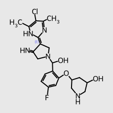 CC1=N/C(=C2\CN(C(O)c3ccc(F)cc3OC3CNCC(O)C3)CC2=N)NC(C)=C1Cl